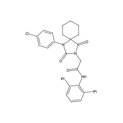 CC(C)c1cccc(C(C)C)c1NC(=O)CN1C(=O)N(c2ccc(Cl)cc2)C2(CCCCC2)C1=O